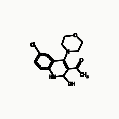 CC(=O)C1=C(N2CCOCC2)c2cc(Cl)ccc2NC1O